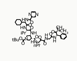 CCC[C@H](NC(=O)[C@@H]1CN(C(=O)OC(C)(C)C)C[C@@H]1NC(=O)[C@@H](NC(=O)[C@@H](NC(=O)c1cnccn1)C1CCCCC1)C(C)C)C(=O)C(=O)NCC(=O)N[C@H](C(=O)N(C)C)c1ccccc1